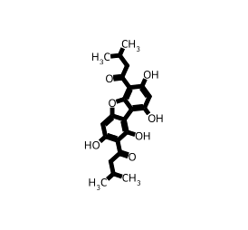 CC(C)CC(=O)c1c(O)cc2oc3c(C(=O)CC(C)C)c(O)cc(O)c3c2c1O